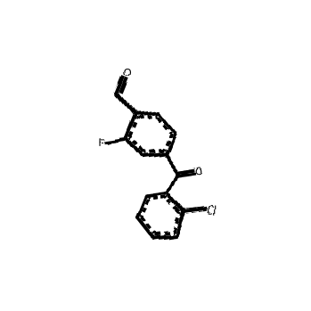 O=Cc1ccc(C(=O)c2ccccc2Cl)cc1F